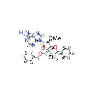 C=CC1(COCc2ccccc2)OC(n2cnc3c(N)ncnc32)C(OC)C1OCc1ccccc1